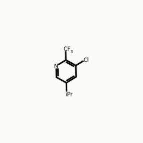 CC(C)c1cnc(C(F)(F)F)c(Cl)c1